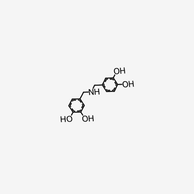 Oc1ccc(CNCc2ccc(O)c(O)c2)cc1O